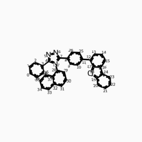 c1ccc(-c2nnc(-c3ccc(-c4cccc5c4oc4ccccc45)cc3)n2-c2cccc3ccccc23)cc1